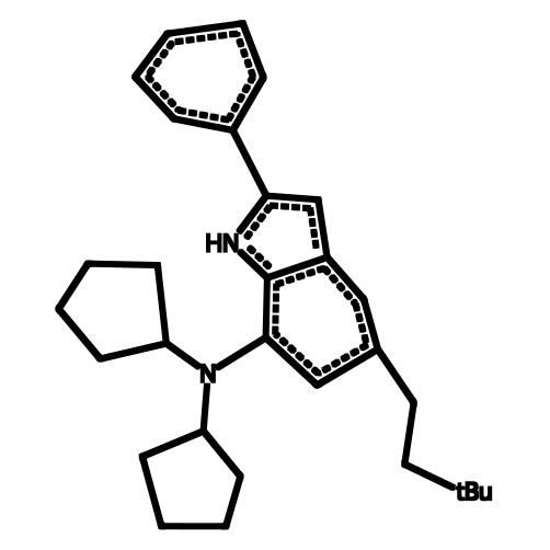 CC(C)(C)CCc1cc(N(C2CCCC2)C2CCCC2)c2[nH]c(-c3ccccc3)cc2c1